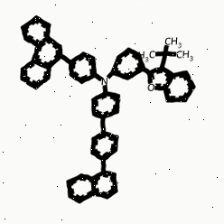 CC(C)(C)c1c(-c2cccc(N(c3ccc(-c4ccc(-c5cccc6ccccc56)cc4)cc3)c3ccc(-c4cc5ccccc5c5ccccc45)cc3)c2)oc2ccccc12